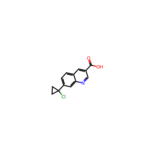 O=C(O)c1cnc2cc(C3(Cl)CC3)ccc2c1